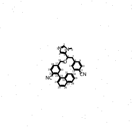 Cn1cncc1C(Cc1ccc(C#N)cc1)OCc1ccc(C#N)c(-c2cccc3ccccc23)c1